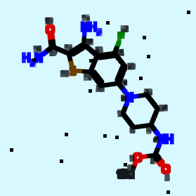 CC(C)(C)OC(=O)NC1CCN(c2cc(F)c3c(N)c(C(N)=O)sc3c2)CC1